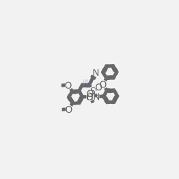 COc1cc(OC)c(/C=C(/C#N)S(=O)(=O)Nc2ccccc2Oc2ccccc2)c(OC)c1